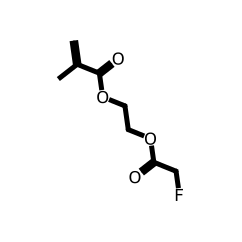 C=C(C)C(=O)OCCOC(=O)CF